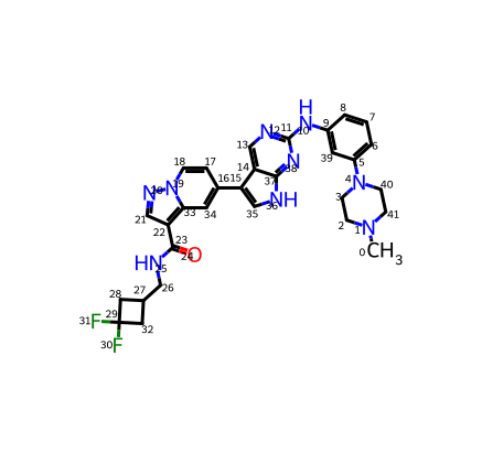 CN1CCN(c2cccc(Nc3ncc4c(-c5ccn6ncc(C(=O)NCC7CC(F)(F)C7)c6c5)c[nH]c4n3)c2)CC1